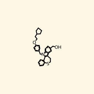 OCc1ccc2c(c1)c1c(n2Cc2ccc(OCCC3CCCC3)cc2)-c2ccccc2SCC1